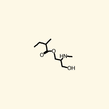 CCC(C)C(=O)OCC(CO)NC